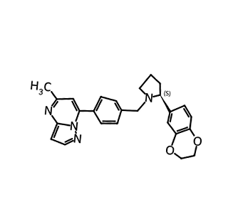 Cc1cc(-c2ccc(CN3CCC[C@H]3c3ccc4c(c3)OCCO4)cc2)n2nccc2n1